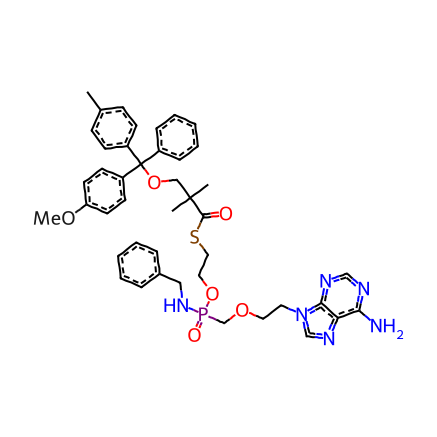 COc1ccc(C(OCC(C)(C)C(=O)SCCOP(=O)(COCCn2cnc3c(N)ncnc32)NCc2ccccc2)(c2ccccc2)c2ccc(C)cc2)cc1